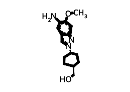 COc1cc2nn([C@H]3CC[C@H](CO)CC3)cc2cc1N